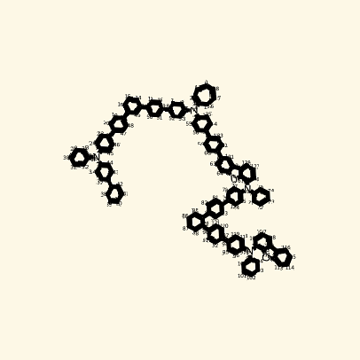 C1=CC=C(N(c2ccc(-c3ccc(-c4cccc(-c5ccc(-c6ccc(N(c7ccccc7)c7ccc(-c8ccccc8)cc7)cc6)cc5)c4)cc3)cc2)c2ccc(-c3ccc(-c4ccc5oc6c(N(c7ccccc7)c7ccc(-c8ccc(-c9ccccc9-c9ccc(-c%10ccc(N(C%11=CC=CCC%11)c%11cccc%12c%11oc%11ccccc%11%12)cc%10)cc9)cc8)cc7)cccc6c5c4)cc3)cc2)CC=C1